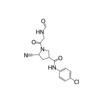 N#CC1CC(C(=O)Nc2ccc(Cl)cc2)CN1C(=O)CNC=O